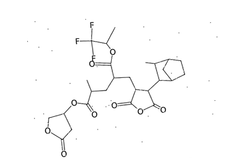 CC(CC(CC1C(=O)OC(=O)C1C1C2CCC(C2)C1C)C(=O)OC(C)C(F)(F)F)C(=O)OC1COC(=O)C1